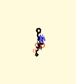 O=C(C[C@H]1CO[C@H]2[C@@H]1OC[C@@H]2n1cc(CC2CCCCC2)nn1)C1CCC1